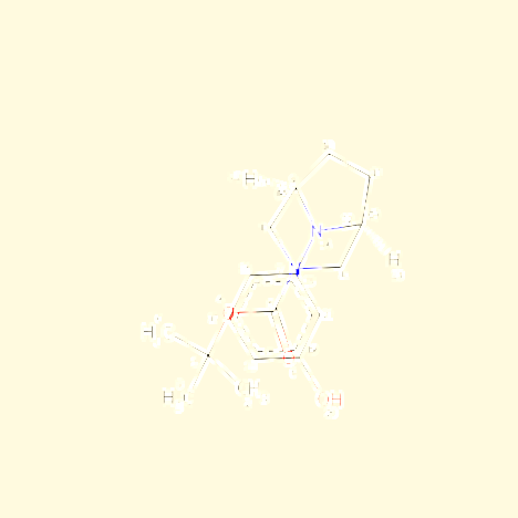 CC(C)(C)OC(=O)N1C[C@H]2CC[C@@H](C1)N2c1cccc(O)c1